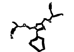 CC(C#N)OCc1cn(COC(C)C#N)c(-c2ccccc2)n1